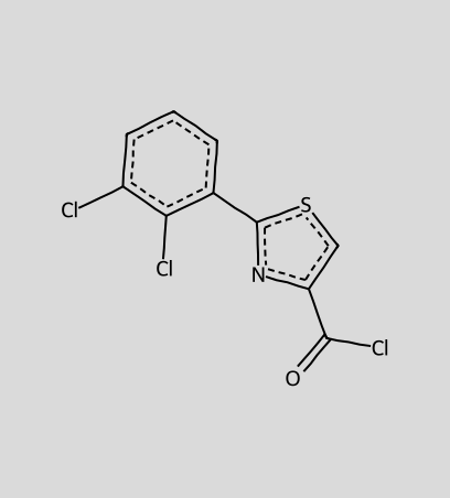 O=C(Cl)c1csc(-c2cccc(Cl)c2Cl)n1